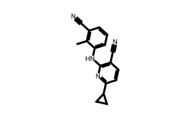 Cc1c(C#N)cccc1Nc1nc(C2CC2)ccc1C#N